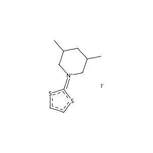 CC1CC(C)C[N+](=c2sccs2)C1.[I-]